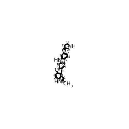 Cc1cc2c(F)c(Oc3ccnc(Nc4cccc(OC5CCNC5)c4)n3)ccc2[nH]1